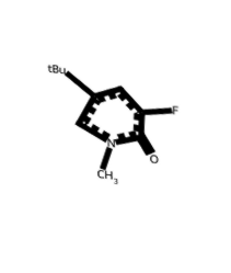 Cn1cc(C(C)(C)C)cc(F)c1=O